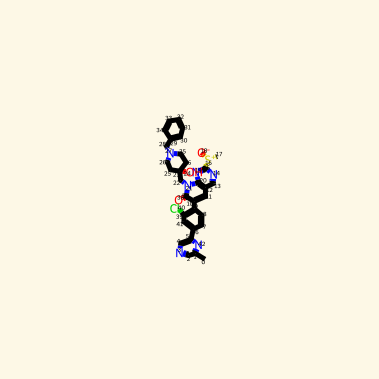 Cc1cncc(-c2ccc(-c3cc4cnc([S+](C)[O-])nc4n(CC4(O)CCN(Cc5ccccc5)CC4)c3=O)c(Cl)c2)n1